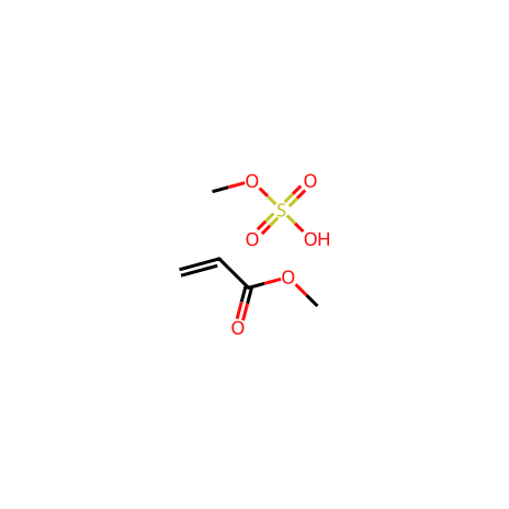 C=CC(=O)OC.COS(=O)(=O)O